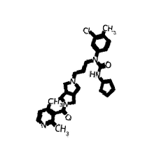 Cc1ccc(N(CCCN2CC3CN(C(=O)c4c(C)ccnc4C)CC3C2)C(=O)NC2CCCC2)cc1Cl